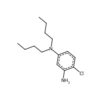 CCCCN(CCCC)c1ccc(Cl)c(N)c1